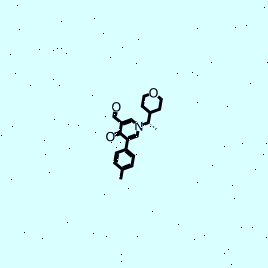 Cc1ccc(-c2cn([C@@H](C)C3CCOCC3)cc(C=O)c2=O)cc1